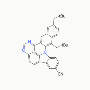 CC(C)(C)Cc1ccc2c(CC(C)(C)C)c3c(cc2c1)c1ncnc2ccc4c5cc(C#N)ccc5n3c4c21